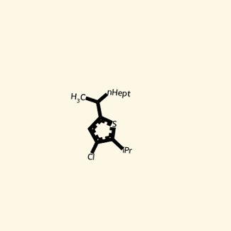 CCCCCCCC(C)c1cc(Cl)c(C(C)C)s1